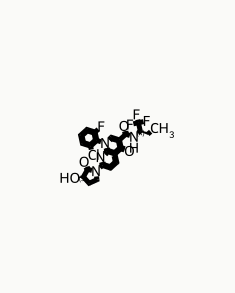 CC[C@@H](NC(=O)c1cn(-c2c(F)cccc2Cl)c2nc(N3CC[C@H](O)C3=O)ccc2c1=O)C(F)(F)F